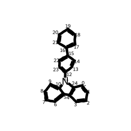 [c]1cccc2c3ccccc3n(-c3ccc(-c4ccccc4)cc3)c12